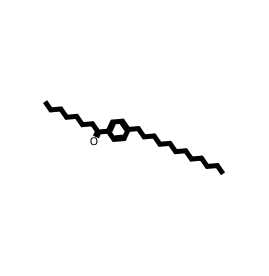 CCCCCCCCCCCCc1ccc(C(=O)CCCCCCC)cc1